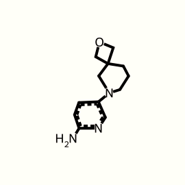 Nc1ccc(N2CCCC3(COC3)C2)cn1